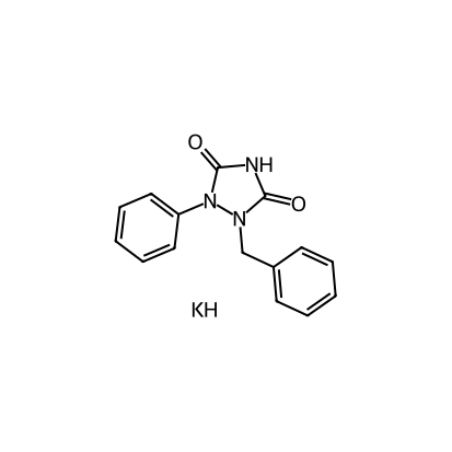 O=c1[nH]c(=O)n(-c2ccccc2)n1Cc1ccccc1.[KH]